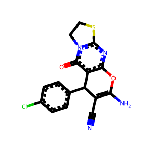 N#CC1=C(N)Oc2nc3n(c(=O)c2C1c1ccc(Cl)cc1)CCS3